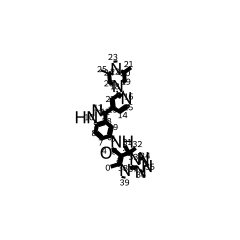 CC1=C(C(=O)Nc2ccc3[nH]nc(-c4ccnc(N5CC(C)N(C)[C@H](C)C5)c4)c3c2)C(C)(C)n2nnnc2N1C